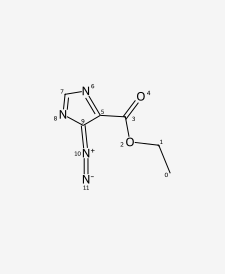 CCOC(=O)C1=NC=NC1=[N+]=[N-]